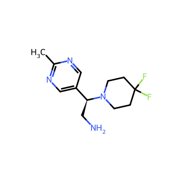 Cc1ncc([C@H](CN)N2CCC(F)(F)CC2)cn1